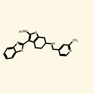 CC(=O)Nc1sc2c(c1-c1nc3ccccc3s1)CCC(NCc1ccnc(C)c1)C2